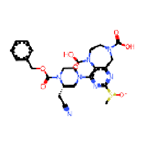 C[S+]([O-])c1nc2c(c(N3CCN(C(=O)OCc4ccccc4)[C@@H](CC#N)C3)n1)N(C(=O)O)CCN(C(=O)O)C2